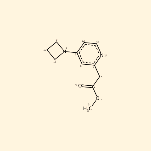 COC(=O)Cc1cc(N2CCC2)ccn1